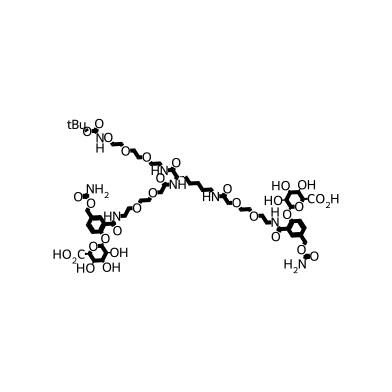 CC(C)(C)OC(=O)NOCCOCCOCCNC(=O)[C@H](CCCCCNC(=O)COCCOCCNC(=O)c1cc(COC(N)=O)ccc1O[C@@H]1O[C@H](C(=O)O)[C@@H](O)[C@H](O)[C@H]1O)NC(=O)COCCOCCNC(=O)c1cc(COC(N)=O)ccc1O[C@@H]1O[C@H](C(=O)O)[C@@H](O)[C@H](O)[C@H]1O